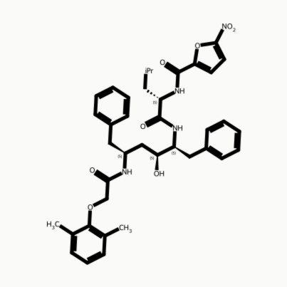 Cc1cccc(C)c1OCC(=O)N[C@@H](Cc1ccccc1)C[C@H](O)[C@H](Cc1ccccc1)NC(=O)[C@H](CC(C)C)NC(=O)c1ccc([N+](=O)[O-])o1